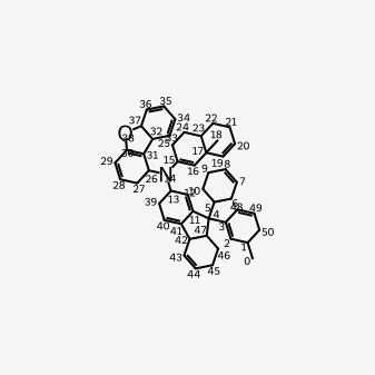 CC1C=C(C2(C3CC=CCC3)C3=CC(N(C4=CC5(C)C=CCCC5CC4)C4CC=CC5=C4C4C=CC=CC4O5)CC=C3C3C=CCCC32)C=CC1